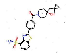 CC1(CC2(O)CCN(C(=O)c3ccc(-c4nc5c(S(N)(=O)=O)cccc5s4)cc3)CC2)CC1